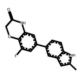 Cc1cc2cc(-c3cc(F)c4c(c3)NC(=O)CO4)ccc2[nH]1